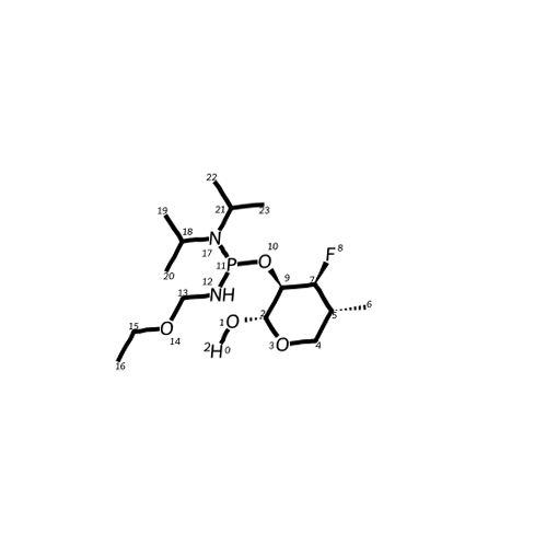 [2H]O[C@H]1OC[C@@H](C)[C@H](F)[C@@H]1OP(NCOCC)N(C(C)C)C(C)C